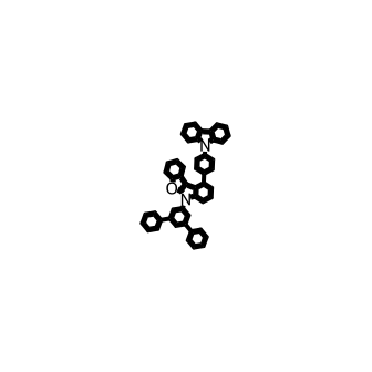 c1ccc(-c2cc(-c3ccccc3)cc(-n3c4cccc(-c5ccc(-n6c7ccccc7c7ccccc76)cc5)c4c4c5ccccc5oc43)c2)cc1